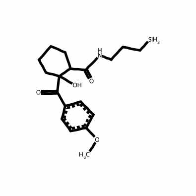 COc1ccc(C(=O)C2(O)CCCCC2C(=O)NCCC[SiH3])cc1